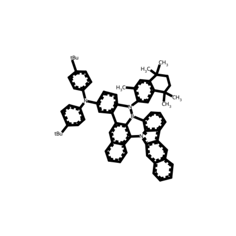 Cc1cc2c(cc1N1B3c4c(cc5ccccc5c4-n4c5cc6ccccc6cc5c5cccc3c54)-c3cc(N(c4ccc(C(C)(C)C)cc4)c4ccc(C(C)(C)C)cc4)ccc31)C(C)(C)CCC2(C)C